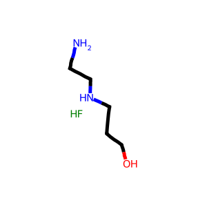 F.NCCNCCCO